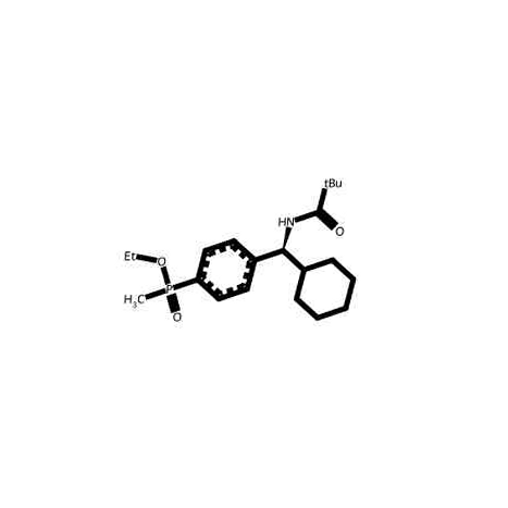 CCOP(C)(=O)c1ccc([C@@H](NC(=O)C(C)(C)C)C2CCCCC2)cc1